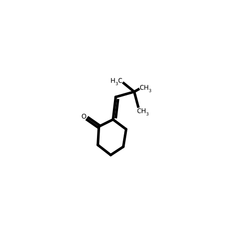 CC(C)(C)C=C1CCCCC1=O